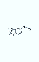 CCC1(C)Oc2ccc(N=C=S)cc2O1